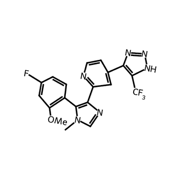 COc1cc(F)ccc1-c1c(-c2cc(-c3nn[nH]c3C(F)(F)F)ccn2)ncn1C